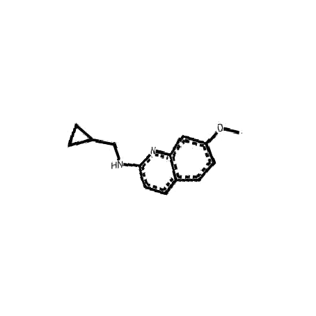 [CH2]Oc1ccc2ccc(NCC3CC3)nc2c1